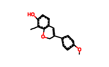 COc1ccc(C2=Cc3ccc(O)c(C)c3OC2)cc1